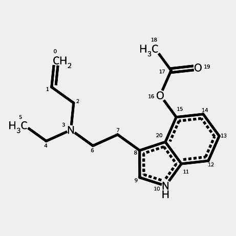 C=CCN(CC)CCc1c[nH]c2cccc(OC(C)=O)c12